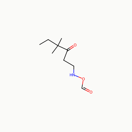 CCC(C)(C)C(=O)CCNOC=O